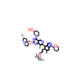 Cc1cc2c(cnn2C2CCCCO2)c(-c2ncc3c(N4CCC[C@@H](O)C4)nc(OC[C@@]45CCCN4C[C@H](F)C5)nc3c2F)c1/C=C/CO[Si](C)(C)C(C)(C)C